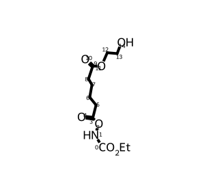 CCOC(=O)NOC(=O)CCCCC(=O)OCCO